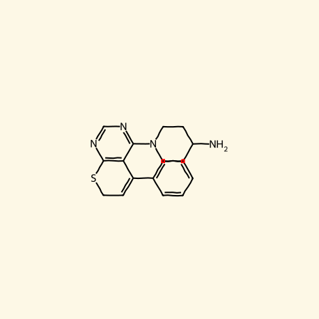 NC1CCN(c2ncnc3c2C(c2ccccc2)=CCS3)CC1